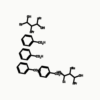 CCCC(O)C(CCC)C(O)CC.CCCCC(C(O)CC)C(O)CCC.O=C(O)c1ccccc1.O=C(O)c1ccccc1.O=C(O)c1ccccc1.O=C(O)c1ccccc1